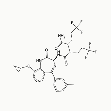 Cc1cccc(C2=N[C@H](NC(=O)[C@@H](CCC(F)(F)F)[C@@H](CCC(F)(F)F)C(N)=O)C(=O)Nc3c(OC4CC4)cccc32)c1